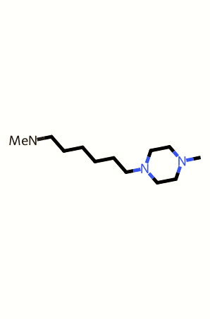 CNCCCCCCN1CCN(C)CC1